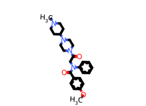 COc1ccc(C(=O)N(CC(=O)N2CCN(C3CCN(C)CC3)CC2)c2ccccc2)cc1